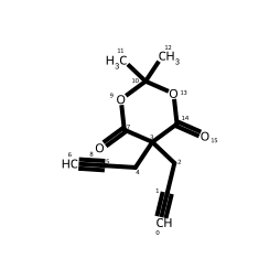 C#CCC1(CC#C)C(=O)OC(C)(C)OC1=O